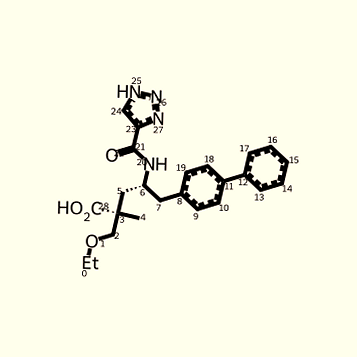 CCOC[C@](C)(C[C@@H](Cc1ccc(-c2ccccc2)cc1)NC(=O)c1c[nH]nn1)C(=O)O